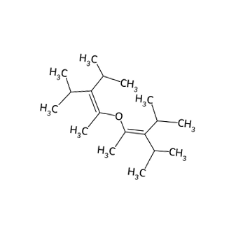 CC(OC(C)=C(C(C)C)C(C)C)=C(C(C)C)C(C)C